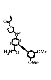 C=CC(=O)N1CCC(N(C)c2cnc(C(N)=O)c(C#Cc3cc(OC)cc(OC)c3)n2)C1